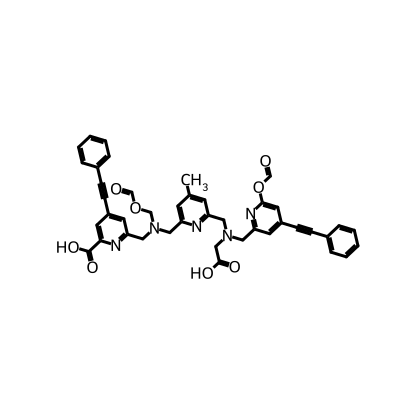 Cc1cc(CN(CC(=O)O)Cc2cc(C#Cc3ccccc3)cc(OC=O)n2)nc(CN(COC=O)Cc2cc(C#Cc3ccccc3)cc(C(=O)O)n2)c1